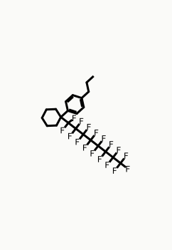 CCCc1ccc(C2(C(F)(F)C(F)(F)C(F)(F)C(F)(F)C(F)(F)C(F)(F)C(F)(F)C(F)(F)F)CCCCC2)cc1